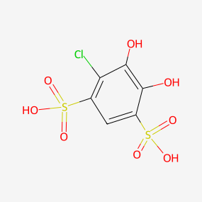 O=S(=O)(O)c1cc(S(=O)(=O)O)c(Cl)c(O)c1O